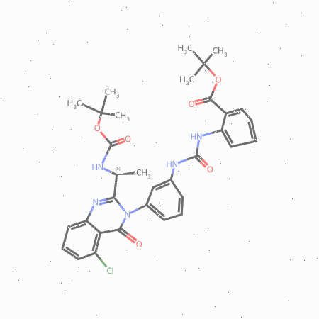 C[C@H](NC(=O)OC(C)(C)C)c1nc2cccc(Cl)c2c(=O)n1-c1cccc(NC(=O)Nc2ccccc2C(=O)OC(C)(C)C)c1